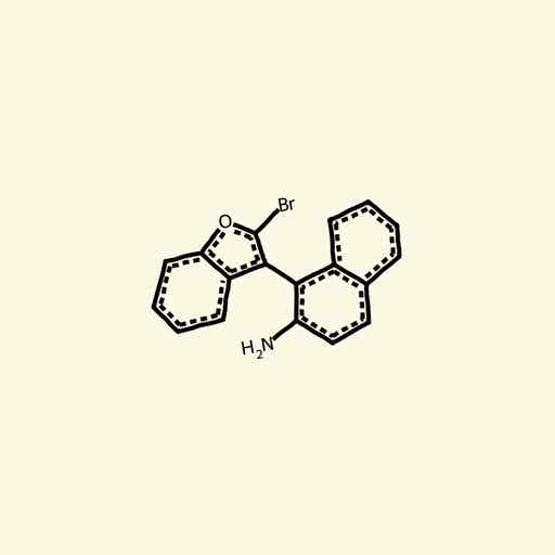 Nc1ccc2ccccc2c1-c1c(Br)oc2ccccc12